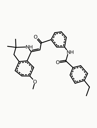 CCc1ccc(C(=O)Nc2cccc(C(=O)C=C3NC(C)(C)Cc4ccc(OC)cc43)c2)cc1